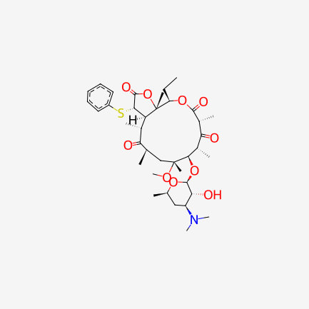 CC[C@H]1OC(=O)[C@H](C)C(=O)[C@H](C)[C@@H](O[C@@H]2O[C@H](C)C[C@H](N(C)C)[C@H]2O)[C@](C)(OC)C[C@@H](C)C(=O)[C@H](C)[C@H]2[C@H](Sc3ccccc3)C(=O)O[C@@]21C